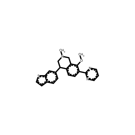 COc1c(-c2ncccn2)ccc2c1CN(C)CC2c1ccc2ccsc2c1